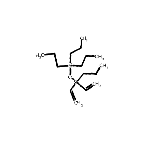 C=C[Si](C=C)(CCC)O[Si](CCC)(CCC)CCC